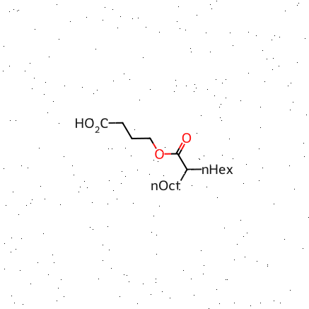 CCCCCCCCC(CCCCCC)C(=O)OCCCC(=O)O